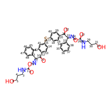 O=C(NCCCO)O/N=C(/C(=O)c1ccc(Sc2ccc(C(=O)/C(=N/OC(=O)NCCCO)c3ccccc3)cc2)cc1)c1ccccc1